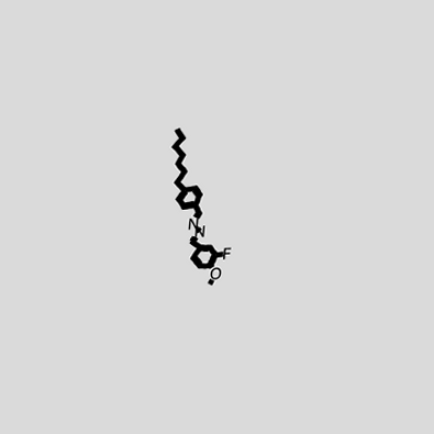 CCCCCCCc1ccc(C=NN=Cc2ccc(OC)c(F)c2)cc1